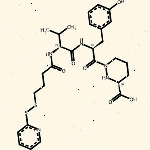 CC(C)[C@H](NC(=O)CCCSSc1ccccn1)C(=O)N[C@@H](Cc1cccc(O)c1)C(=O)N1CCC[C@@H](C(=O)O)N1